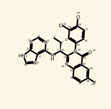 CC[C@H](Nc1ncnc2[nH]cnc12)c1nc2ccc(F)cc2c(=O)n1-c1ccc(Cl)c(Cl)c1